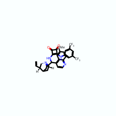 C=C[C@@H]1C[N@]2CCC1C[C@H]2C(Nc1c(Nc2cc(C(F)(F)F)cc(C(F)(F)F)c2)c(=O)c1=O)c1ccnc2ccc(OC)cc12